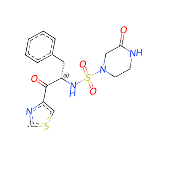 O=C1CN(S(=O)(=O)N[C@@H](Cc2ccccc2)C(=O)c2cs[c]n2)CCN1